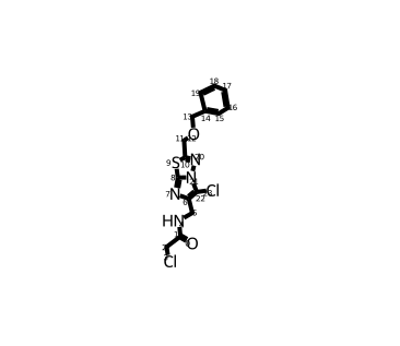 O=C(CCl)NCc1nc2sc(COCc3ccccc3)nn2c1Cl